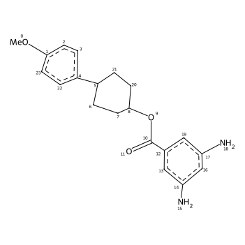 COc1ccc(C2CCC(OC(=O)c3cc(N)cc(N)c3)CC2)cc1